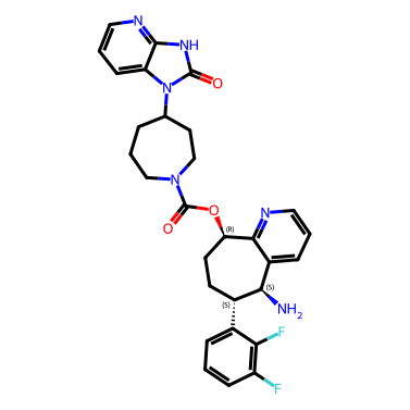 N[C@@H]1c2cccnc2[C@H](OC(=O)N2CCCC(n3c(=O)[nH]c4ncccc43)CC2)CC[C@H]1c1cccc(F)c1F